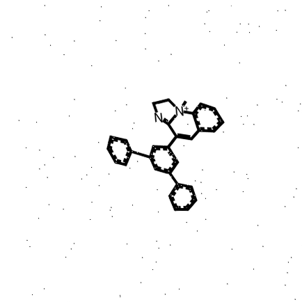 C[N+]12CCN=C1C(c1cc(-c3ccccc3)cc(-c3ccccc3)c1)=Cc1ccccc12